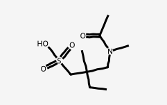 CCC(C)(CN(C)C(C)=O)CS(=O)(=O)O